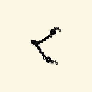 C[Si](C)(C)O[Si](C)(CCCCCCCCOc1ccc(N)cc1)CCCCCCCCOc1ccc(N)cc1